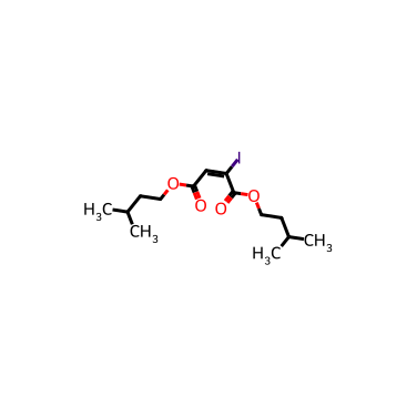 CC(C)CCOC(=O)/C=C(/I)C(=O)OCCC(C)C